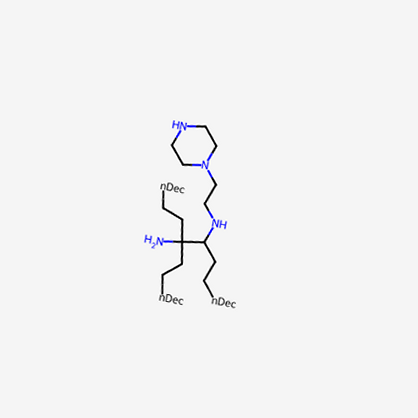 CCCCCCCCCCCCC(NCCN1CCNCC1)C(N)(CCCCCCCCCCCC)CCCCCCCCCCCC